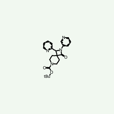 CC(C)(C)OC(=O)N1CCC2(CC1)C(=O)N(c1cccnc1)C2c1ccccn1